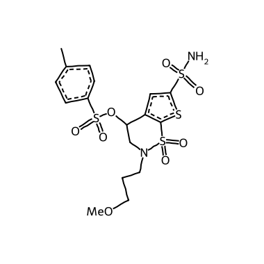 COCCCN1CC(OS(=O)(=O)c2ccc(C)cc2)c2cc(S(N)(=O)=O)sc2S1(=O)=O